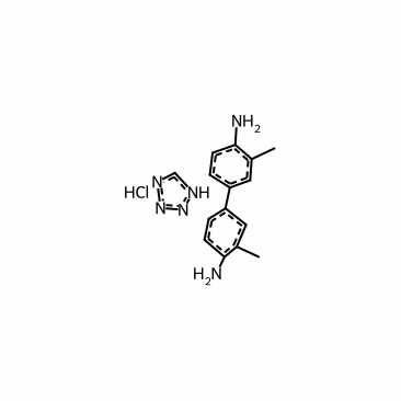 Cc1cc(-c2ccc(N)c(C)c2)ccc1N.Cl.c1nnn[nH]1